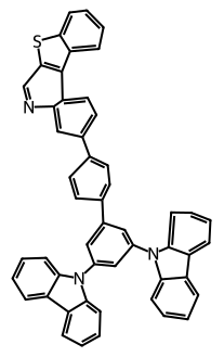 c1ccc2c(c1)sc1cnc3cc(-c4ccc(-c5cc(-n6c7ccccc7c7ccccc76)cc(-n6c7ccccc7c7ccccc76)c5)cc4)ccc3c12